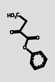 O=C(O)CC(=O)C(=O)Oc1ccccc1